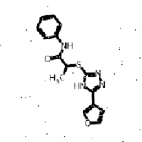 CC(Sc1nnc(-c2ccoc2)[nH]1)C(=O)Nc1ccccc1